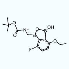 CCOc1ccc(F)c2c1B(O)O[C@H]2CNC(=O)OC(C)(C)C